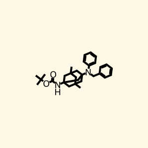 CC12CC3(C)CC(NC(=O)OC(C)(C)C)(C1)CC(N(Cc1ccccc1)c1ccccc1)(C2)C3